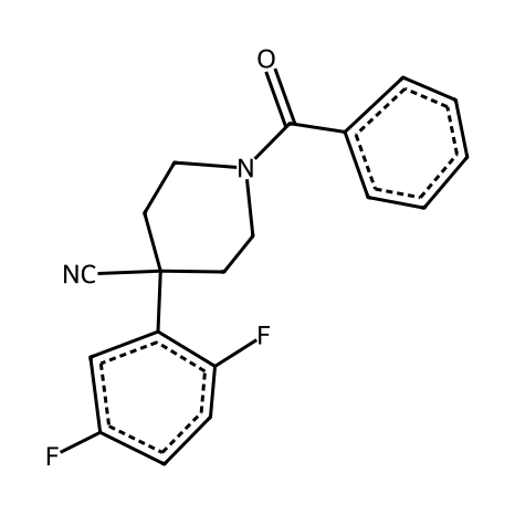 N#CC1(c2cc(F)ccc2F)CCN(C(=O)c2ccccc2)CC1